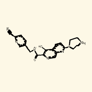 N#Cc1ccc(CNC(=O)c2ncc3nc(N4CCNCC4)ccc3c2O)cn1